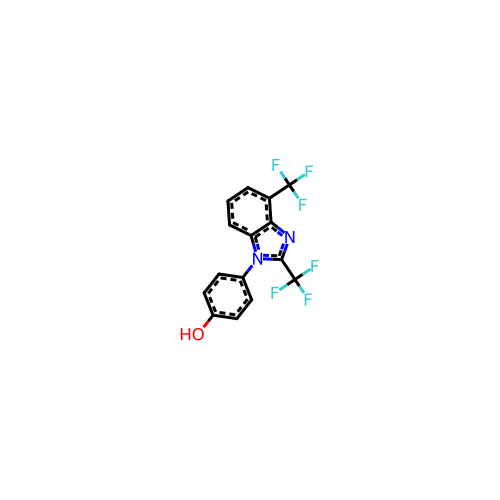 Oc1ccc(-n2c(C(F)(F)F)nc3c(C(F)(F)F)cccc32)cc1